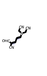 N#CCN(/C=C/C=C(/C#N)C=O)CC#N